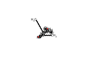 CCCCCC/C=C/[C@@H](OC(=O)c1ccccc1)[C@H](CO[C@@H]1O[C@H](COS(=O)(=O)[O-])[C@H](O)[C@H](O)[C@H]1OS(=O)(=O)[O-])NC(=O)CCCCCCCCCCCCCCC.[Na+].[Na+]